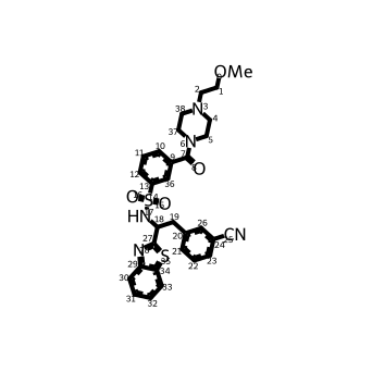 COCCN1CCN(C(=O)c2cccc(S(=O)(=O)NC(Cc3cccc(C#N)c3)c3nc4ccccc4s3)c2)CC1